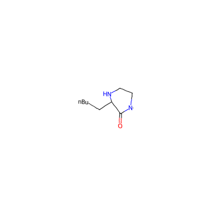 CCCCCC1NCC[N]C1=O